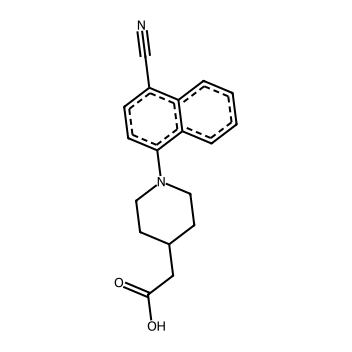 N#Cc1ccc(N2CCC(CC(=O)O)CC2)c2ccccc12